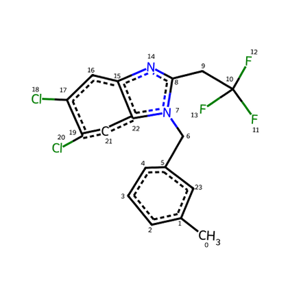 Cc1cccc(Cn2c(CC(F)(F)F)nc3cc(Cl)c(Cl)cc32)c1